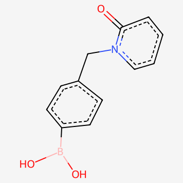 O=c1ccccn1Cc1ccc(B(O)O)cc1